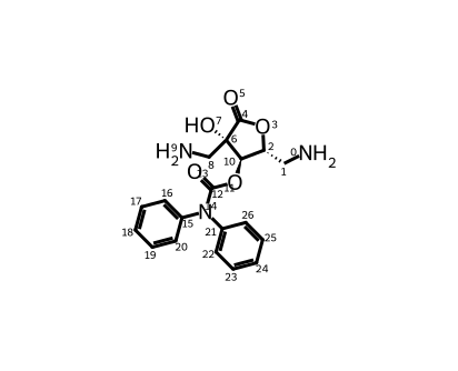 NC[C@H]1OC(=O)[C@](O)(CN)[C@@H]1OC(=O)N(c1ccccc1)c1ccccc1